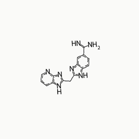 N=C(N)c1ccc2[nH]c(Cc3nc4ncccc4[nH]3)nc2c1